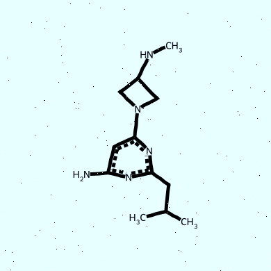 CNC1CN(c2cc(N)nc(CC(C)C)n2)C1